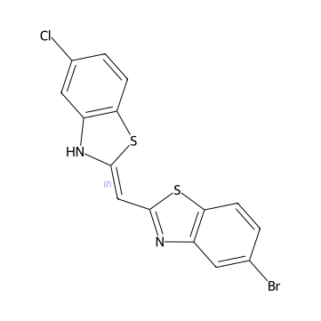 Clc1ccc2c(c1)N/C(=C/c1nc3cc(Br)ccc3s1)S2